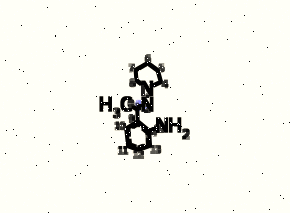 C/C(=N\N1CCCCC1)c1ccccc1N